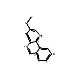 CCc1cnc2c(c1)ncc1ccccc12